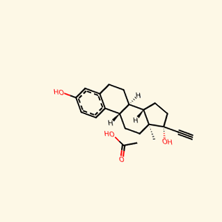 C#C[C@]1(O)CC[C@H]2[C@@H]3CCc4cc(O)ccc4[C@H]3CC[C@@]21C.CC(=O)O